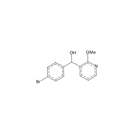 COc1ncccc1C(O)c1ccc(Br)cc1